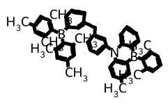 Cc1cc(C)c(B(c2cccc(Cc3cccc(N4c5ccccc5B(c5c(C)cccc5C)c5cc(C)ccc54)c3)c2)c2c(C)cc(C)cc2C)c(C)c1